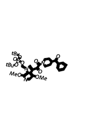 COc1cnc(OC)c2c1c(C(=O)C(=O)N1CCC(C(=O)c3ccccc3)CC1)cn2COP(=O)(OC(C)(C)C)OC(C)(C)C